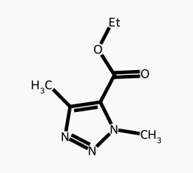 CCOC(=O)c1c(C)nnn1C